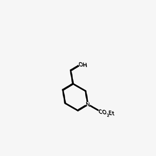 CCOC(=O)N1CCCC(CO)C1